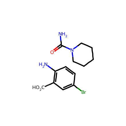 NC(=O)N1CCCCC1.Nc1ccc(Br)cc1C(=O)O